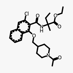 CCOC(=O)C(C)(CC)NC(=O)c1c(Cl)cc2ccccc2c1OCC1CCN(C(C)=O)CC1